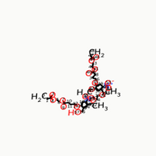 C=CC(=O)OCCOC(=O)CCCOc1cc([N+](=O)[O-])c(C(C)OCCOC(C)c2cc(OC)c(OCCCC(=O)OCCOC(=O)C=C)cc2[N+](=O)[O-])cc1CO